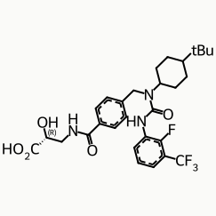 CC(C)(C)C1CCC(N(Cc2ccc(C(=O)NC[C@@H](O)C(=O)O)cc2)C(=O)Nc2cccc(C(F)(F)F)c2F)CC1